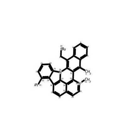 Cc1c2ccccc2c(CC(C)(C)C)c2c1c1c3c(ccc4c5c(C(C)C)cccc5n2c43)cc[n+]1C